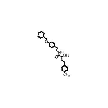 O=C(NCCc1ccc(OCc2ccccc2)cc1)C(O)CCc1ccc(C(F)(F)F)cc1